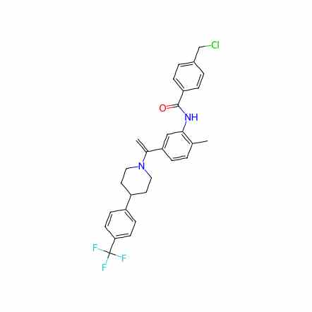 C=C(c1ccc(C)c(NC(=O)c2ccc(CCl)cc2)c1)N1CCC(c2ccc(C(F)(F)F)cc2)CC1